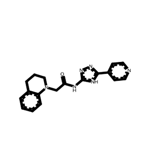 O=C(CN1CCCc2ccccc21)Nc1nnc(-c2ccncc2)[nH]1